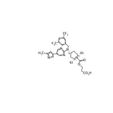 CC[C@@H]1C[C@H](N(Cc2cc(C(F)(F)F)cc(C(F)(F)F)c2)c2ncc(-c3cnn(C)c3)cn2)C[C@H](CC)N1C(=O)OCCC(=O)O